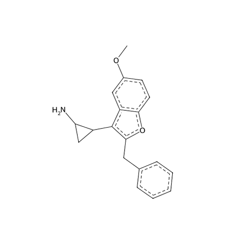 COc1ccc2oc(Cc3ccccc3)c(C3CC3N)c2c1